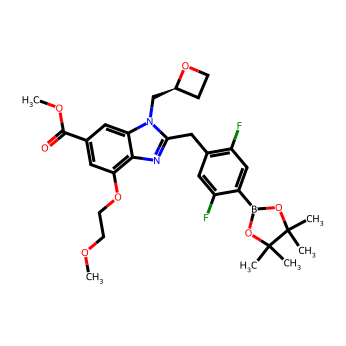 COCCOc1cc(C(=O)OC)cc2c1nc(Cc1cc(F)c(B3OC(C)(C)C(C)(C)O3)cc1F)n2C[C@@H]1CCO1